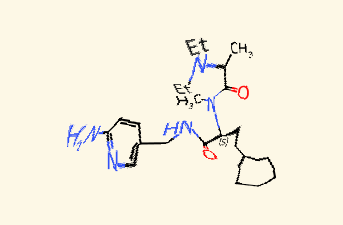 CCN(CC)C(C)C(=O)N(C)[C@@H](CC1CCCCC1)C(=O)NCc1ccc(N)nc1